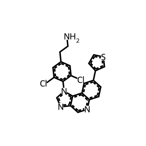 NCCc1cc(Cl)c(-n2cnc3cnc4ccc(-c5ccsc5)cc4c32)c(Cl)c1